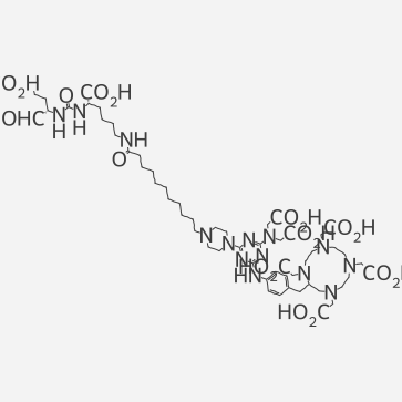 O=C[C@H](CCC(=O)O)NC(=O)N[C@@H](CCCCNC(=O)CCCCCCCCCCN1CCN(c2nc(Nc3ccc(CC4CN(CC(=O)O)CCN(CC(=O)O)CCN(CC(=O)O)CCN4CC(=O)O)cc3)nc(N(CC(=O)O)CC(=O)O)n2)CC1)C(=O)O